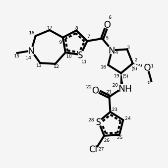 CO[C@H]1CN(C(=O)c2cc3c(s2)CCN(C)CC3)C[C@@H]1NC(=O)c1ccc(Cl)s1